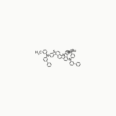 Cc1cccc(N(c2cccc(-c3ccccc3)c2)c2ccc3c(c2)sc2ccc4c(ccc5c6ccc(N(c7cccc(-c8ccccc8)c7)c7cccc(C(C)(C)C)c7)c7c8cc(C(C)(C)C)ccc8n(c45)c67)c23)c1